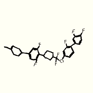 CC1CCC(c2cc(F)c(C3CCC(C(F)(F)Oc4ccc(-c5ccc(F)c(F)c5)c(F)c4)CC3)c(F)c2)CC1